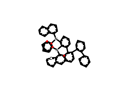 c1ccc(-c2ccccc2-c2ccccc2-c2cccc(N(c3ccccc3)c3cccc4ccccc34)c2N(c2ccccc2)c2cccc3ccccc23)cc1